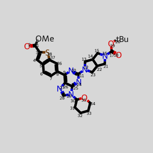 COC(=O)c1cc2ccc(-c3nc(N4CC5CN(C(=O)OC(C)(C)C)CC5C4)nc4c3ncn4C3CCCCO3)cc2s1